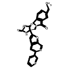 CCc1ccc2c(c1)C(=O)N(C[C@@]1(c3cc4cc(-c5cccnc5)ncc4o3)NC(=O)NC1=O)C2